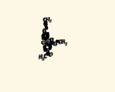 CC#CCOc1ccc(S(=O)(=O)N2CCN(C(C)=O)CC2C(=O)OCC)cc1